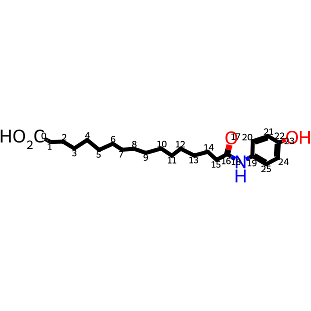 O=C(O)CCCCCCCCCCCCCCCC(=O)Nc1ccc(O)cc1